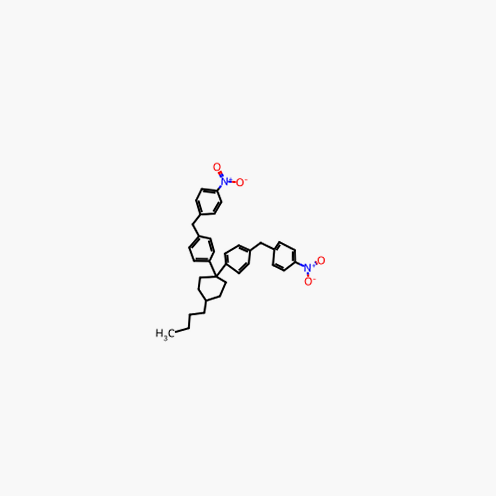 CCCCC1CCC(c2ccc(Cc3ccc([N+](=O)[O-])cc3)cc2)(c2ccc(Cc3ccc([N+](=O)[O-])cc3)cc2)CC1